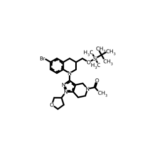 CC(=O)N1CCc2c(c(N3CC(CO[Si](C)(C)C(C)(C)C)Cc4cc(Br)ccc43)nn2C2CCOC2)C1